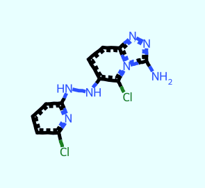 Nc1nnc2ccc(NNc3cccc(Cl)n3)c(Cl)n12